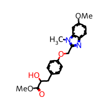 COC(=O)C(O)Cc1ccc(OCc2nc3ccc(OC)cc3n2C)cc1